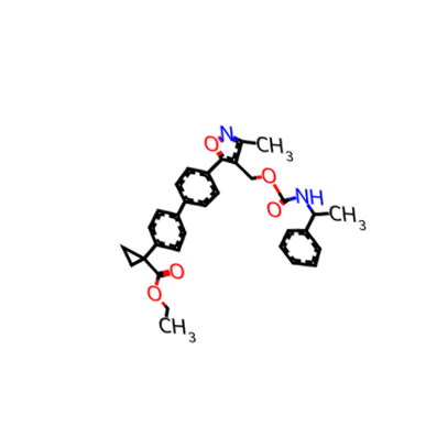 CCOC(=O)C1(c2ccc(-c3ccc(-c4onc(C)c4COC(=O)NC(C)c4ccccc4)cc3)cc2)CC1